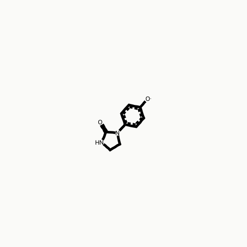 [O]c1ccc(N2CCNC2=O)cc1